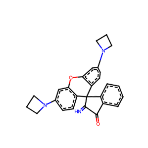 N=C1C(=O)c2ccccc2C12c1ccc(N3CCC3)cc1Oc1cc(N3CCC3)ccc12